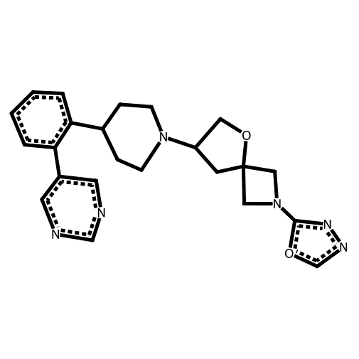 c1ccc(C2CCN(C3COC4(C3)CN(c3nnco3)C4)CC2)c(-c2cncnc2)c1